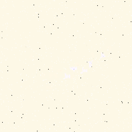 C#CCOc1ccc(S(=O)(=O)OCC(C)(O)C(=O)C(CC(C)C)NC(=O)C(Cc2ccccc2)NC(=O)C(CC(C)C)NC(=O)C(CCc2ccccc2)NC(=O)CN2CCOCC2)c(F)c1F